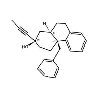 CC#C[C@@]1(O)CC[C@@]2(Cc3ccccc3)c3ccccc3CC[C@@H]2C1